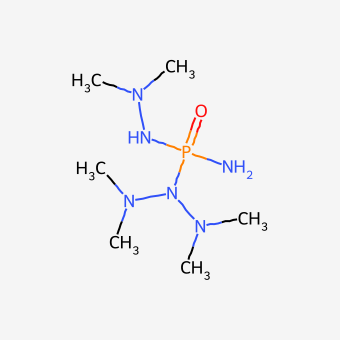 CN(C)NP(N)(=O)N(N(C)C)N(C)C